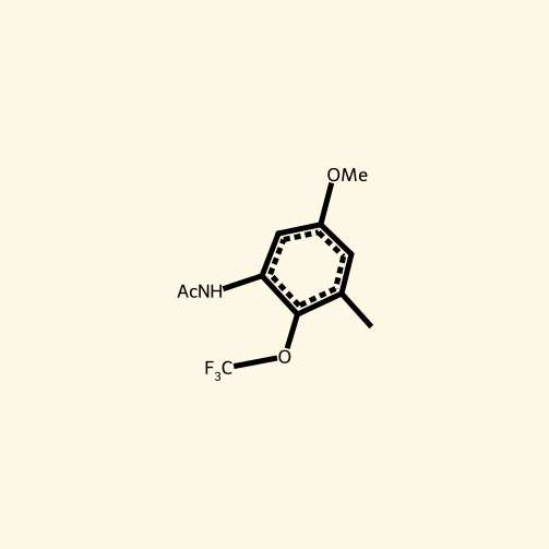 COc1cc(C)c(OC(F)(F)F)c(NC(C)=O)c1